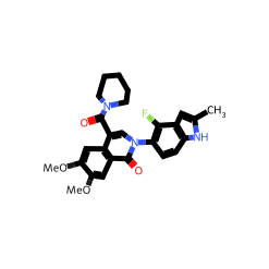 COc1cc2c(C(=O)N3CCCCC3)cn(-c3ccc4[nH]c(C)cc4c3F)c(=O)c2cc1OC